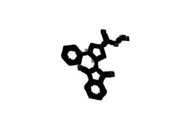 CC(C)(C)OC(=O)N1C[C@H](c2ccccc2)[C@H](N2C(=O)c3ccccc3C2=O)C1